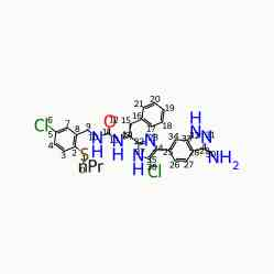 CCCSc1ccc(Cl)cc1CNC(=O)N[C@@H](Cc1ccccc1)c1nc(-c2ccc3c(N)n[nH]c3c2)c(Cl)[nH]1